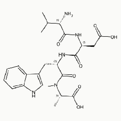 CC(C)[C@H](N)C(=O)N[C@@H](CC(=O)O)C(=O)N[C@@H](Cc1c[nH]c2ccccc12)C(=O)N(C)[C@@H](C)C(=O)O